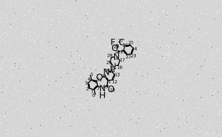 Cc1ccc(C)c2c1NC(=O)c1ccc(N3CCN(C(=O)c4ccccc4C(F)(F)F)CC3)nc1O2